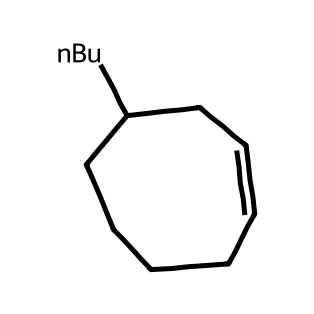 C[CH]CCC1C/C=C\CCCC1